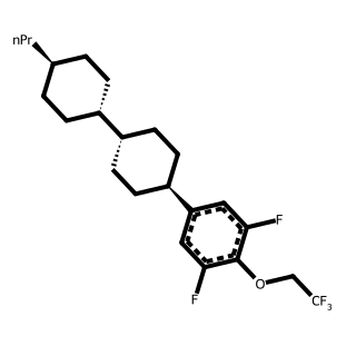 CCC[C@H]1CC[C@H]([C@H]2CC[C@H](c3cc(F)c(OCC(F)(F)F)c(F)c3)CC2)CC1